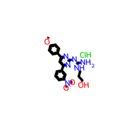 COc1ccc(-c2cc(-c3cccc([N+](=O)[O-])c3)nc(N=C(N)NCCCO)n2)cc1.Cl